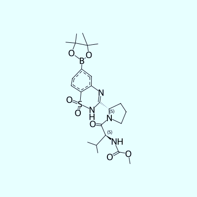 COC(=O)N[C@H](C(=O)N1CCC[C@H]1C1=Nc2cc(B3OC(C)(C)C(C)(C)O3)ccc2S(=O)(=O)N1)C(C)C